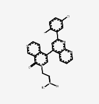 CCN(CC)CCn1cc(-c2cc(-c3cc(Cl)ccc3F)nc3ncccc23)c2ccncc2c1=O